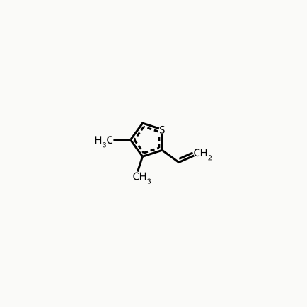 C=Cc1scc(C)c1C